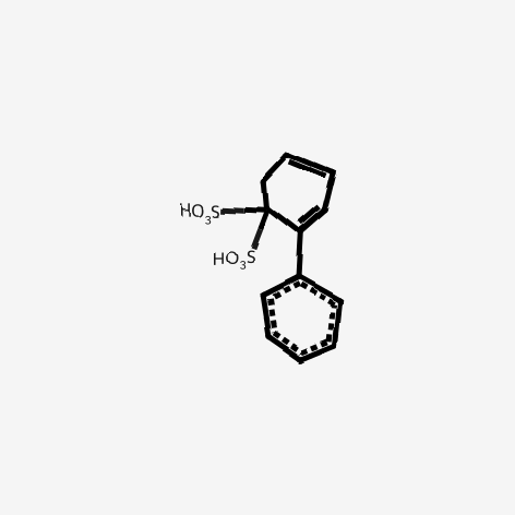 O=S(=O)(O)C1(S(=O)(=O)O)CC=CC=C1c1ccccc1